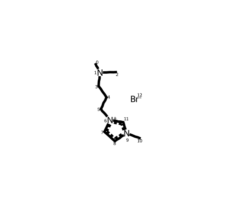 CN(C)CCC[n+]1ccn(C)c1.[Br-]